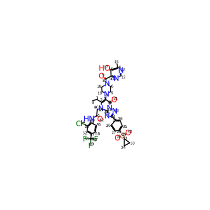 CCc1c(N2CCN(C(=O)c3ncnc(C)c3O)CC2)c(=O)n2nc(-c3ccc(S(=O)(=O)C4CC4)cc3)nc2n1CC(=O)Nc1ccc(C(F)(F)F)cc1Cl